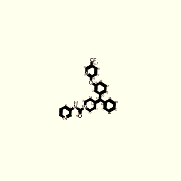 O=C(Nc1cccnc1)N1CCC(=C(c2ccccc2)c2cccc(Oc3ccc(C(F)(F)F)cn3)c2)CC1